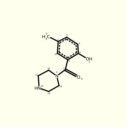 Cc1ccc(O)c(C(=O)N2CCNCC2)c1